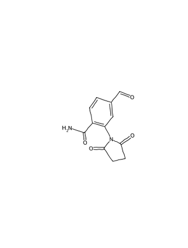 NC(=O)c1ccc(C=O)cc1N1C(=O)CCC1=O